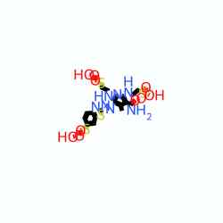 Cc1c(N=Nc2nc3ccc(SOOO)cc3s2)c(NCCSOOO)nc(NCCS(=O)(=O)O)c1C(N)=O